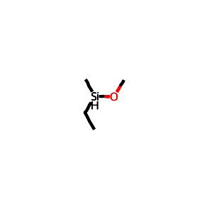 CC[SiH](C)OC